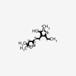 CCc1nn(C)c(O)c1CSC1=NOC(C)(C)C1